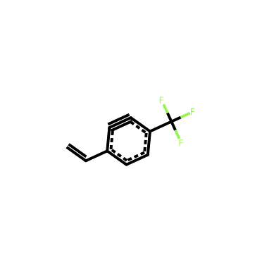 C=Cc1c#cc(C(F)(F)F)cc1